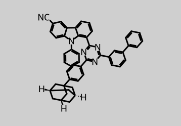 N#Cc1ccc2c(c1)c1cccc(-c3nc(-c4ccc(C56C[C@H]7C[C@H](C5)C[C@@H](C6)C7)cc4)nc(-c4cccc(-c5ccccc5)c4)n3)c1n2-c1ccccc1